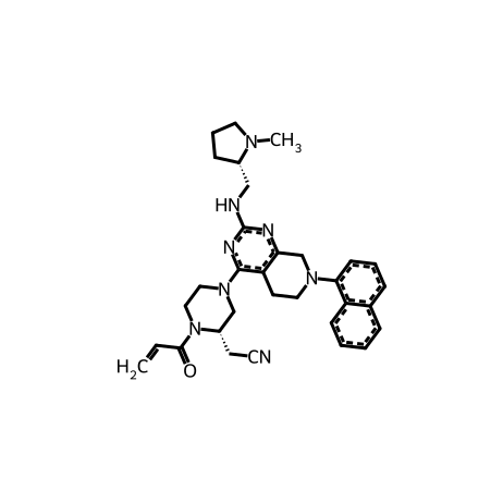 C=CC(=O)N1CCN(c2nc(NC[C@@H]3CCCN3C)nc3c2CCN(c2cccc4ccccc24)C3)C[C@@H]1CC#N